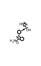 CC(O)(C#Cc1cccc(-n2nc(C(N)=O)c3ccccc32)c1)c1c[nH]nn1